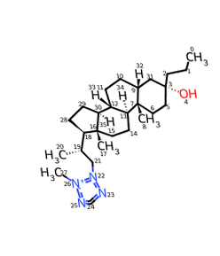 CCC[C@@]1(O)CC[C@@]2(C)[C@H](CC[C@@H]3[C@@H]2CC[C@]2(C)[C@@H]([C@@H](C)Cn4ncn[n+]4C)CC[C@@H]32)C1